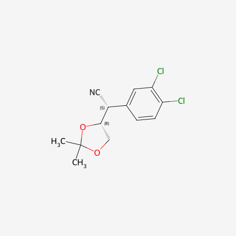 CC1(C)OC[C@@H]([C@H](C#N)c2ccc(Cl)c(Cl)c2)O1